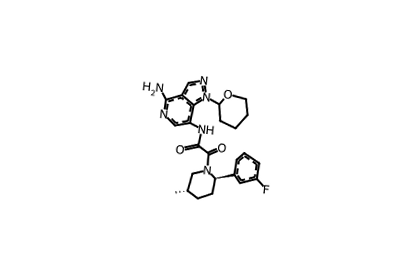 C[C@H]1CC[C@H](c2cccc(F)c2)N(C(=O)C(=O)Nc2cnc(N)c3cnn(C4CCCCO4)c23)C1